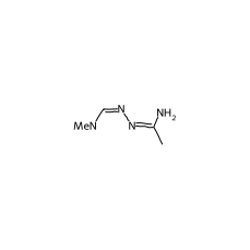 CN/C=N\N=C(\C)N